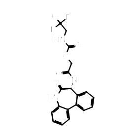 O=C(COC(=O)NCC(F)(F)C(F)(F)F)N[C@@H]1C(=O)Nc2ccccc2-c2ccccc21